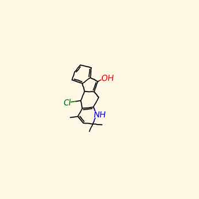 CC1=CC(C)(C)NC2=C1C(Cl)C1C(=C(O)c3ccccc31)C2